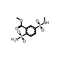 CNS(=O)(=O)c1ccc(S(N)(=O)=O)c(C(=O)OC)c1